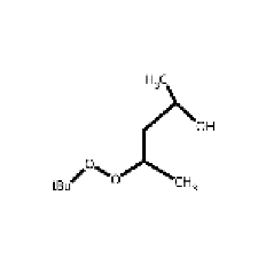 CC(O)CC(C)OOC(C)(C)C